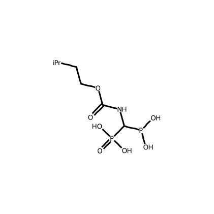 CC(C)CCOC(=O)NC(P(O)O)P(=O)(O)O